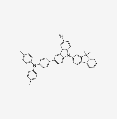 [2H]c1ccc2c(c1)c1cc(-c3ccc(N(c4ccc(C)cc4)c4ccc(C)cc4)cc3)ccc1n2-c1ccc2c(c1)C(C)(C)c1ccccc1-2